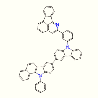 c1ccc(-n2c3ccc(-c4ccc5c(c4)c4ccccc4n5-c4cccc(-c5cc6cccc7c6c(n5)-c5ccccc5-7)c4)cc3c3ccc4ccccc4c32)cc1